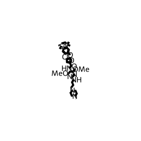 COc1nc(NCCCN2CCN(C)CC2)nc(OC)c1NC(=O)c1ccc(Oc2cc3c(cc2Cl)[Si](C)(C)CC[Si]3(C)C)o1